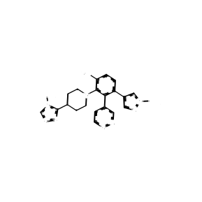 Cn1cc(-c2ccc(C#N)c(N3CCC(c4nncn4C)CC3)c2-c2ccnnc2)cn1